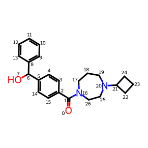 O=C(c1ccc(C(O)c2ccccc2)cc1)N1CCCN(C2CCC2)CC1